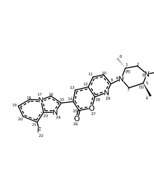 C[C@@H]1CN(C)[C@@H](C)CN1c1ccc2cc(-c3cn4cccc(F)c4n3)c(=O)oc2n1